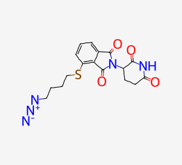 [N-]=[N+]=NCCCCSc1cccc2c1C(=O)N(C1CCC(=O)NC1=O)C2=O